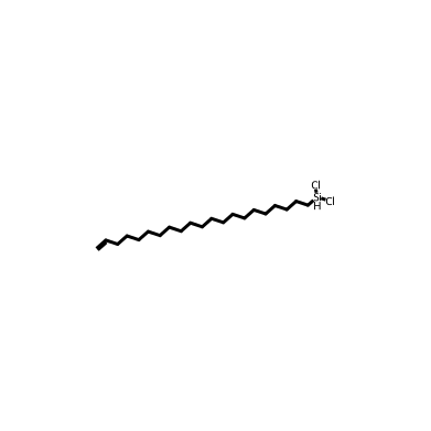 C=CCCCCCCCCCCCCCCCCCCC[SiH](Cl)Cl